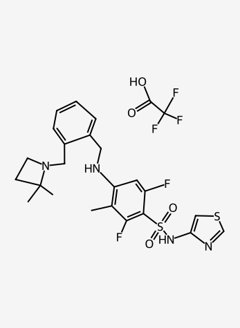 Cc1c(NCc2ccccc2CN2CCC2(C)C)cc(F)c(S(=O)(=O)Nc2cscn2)c1F.O=C(O)C(F)(F)F